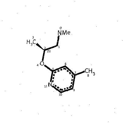 CNC[C@H](C)Oc1cc(C)ccn1